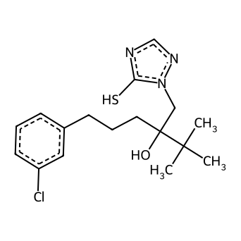 CC(C)(C)C(O)(CCCc1cccc(Cl)c1)Cn1ncnc1S